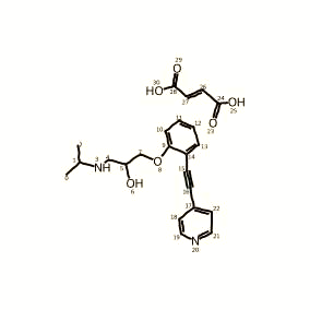 CC(C)NCC(O)COc1ccccc1C#Cc1ccncc1.O=C(O)C=CC(=O)O